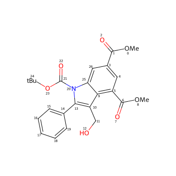 COC(=O)c1cc(C(=O)OC)c2c(CO)c(-c3ccccc3)n(C(=O)OC(C)(C)C)c2c1